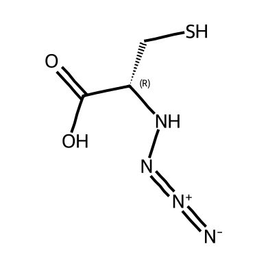 [N-]=[N+]=NN[C@@H](CS)C(=O)O